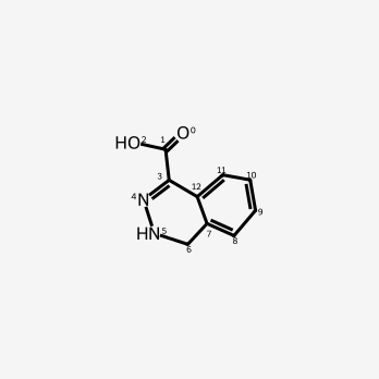 O=C(O)C1=NNCc2ccccc21